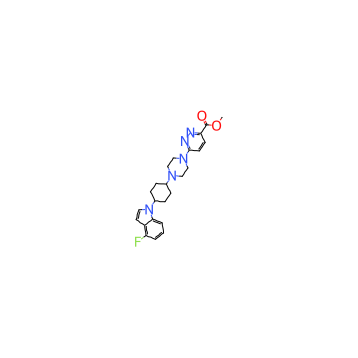 COC(=O)c1ccc(N2CCN(C3CCC(n4ccc5c(F)cccc54)CC3)CC2)nn1